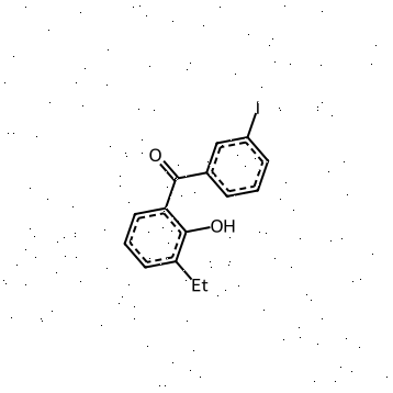 CCc1cccc(C(=O)c2cccc(I)c2)c1O